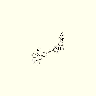 CN1CCN(c2ccc(Nc3ncc(C#Cc4ccc(C(=O)Nc5cccc(C(F)(F)F)c5)cc4)cn3)cc2)CC1